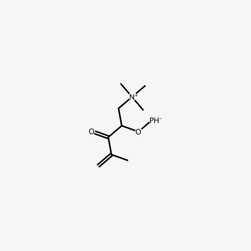 C=C(C)C(=O)C(C[N+](C)(C)C)O[PH-]